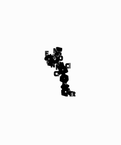 CCN1CCCC2(C1)CN(c1ccc(-c3cc(Cl)c4cn(C(C(=O)Nc5nccs5)c5ncn6c5CC(F)C6)nc4c3Cl)cc1)C2